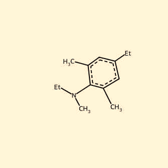 CCc1cc(C)c(N(C)CC)c(C)c1